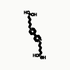 OP(O)CCCCC[n+]1ccc(-c2cc[n+](CCCCCP(O)O)cc2)cc1